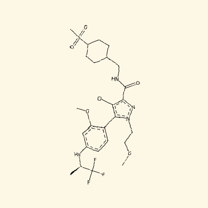 COCCn1nc(C(=O)NCC2CCC(S(C)(=O)=O)CC2)c(Cl)c1-c1ccc(N[C@H](C)C(F)(F)F)cc1OC